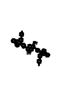 Cc1ccc(-c2ccc(N(c3ccc(-c4cc(C(C)C)c5ccc6c(-c7ccc(N(c8ccc(-c9ccc(C)cc9)cc8)c8cccc9c8oc8ccccc89)cc7)cc(C(C)C)c7ccc4c5c67)cc3)c3cccc4c3oc3ccccc34)cc2)cc1